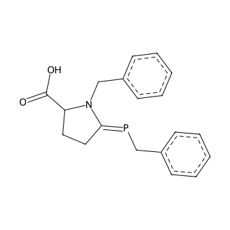 O=C(O)C1CC/C(=P\Cc2ccccc2)N1Cc1ccccc1